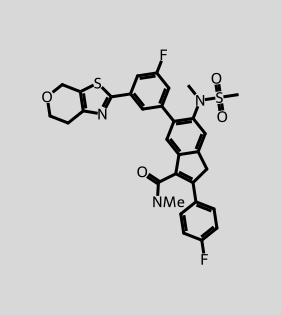 CNC(=O)C1=C(c2ccc(F)cc2)Cc2cc(N(C)S(C)(=O)=O)c(-c3cc(F)cc(-c4nc5c(s4)COCC5)c3)cc21